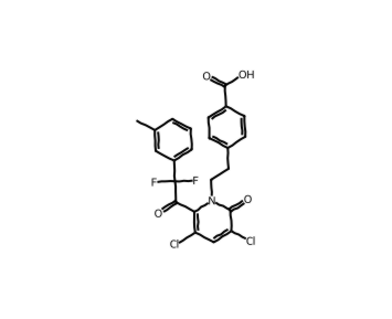 Cc1cccc(C(F)(F)C(=O)c2c(Cl)cc(Cl)c(=O)n2CCc2ccc(C(=O)O)cc2)c1